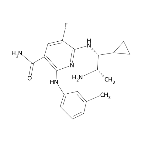 Cc1cccc(Nc2nc(N[C@H](C3CC3)[C@H](C)N)c(F)cc2C(N)=O)c1